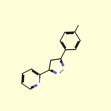 CCCCCc1ccc(C2=NN=C(c3ccccn3)C2)cc1